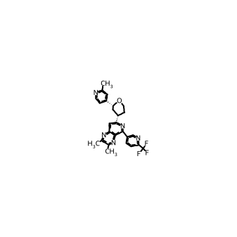 Cc1cc([C@H]2C[C@@H](c3cc4nc(C)c(C)nc4c(-c4ccc(C(F)(F)F)nc4)n3)CCO2)ccn1